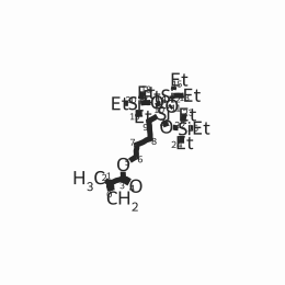 C=C(C)C(=O)OCCCC[Si](O[Si](CC)(CC)CC)(O[Si](CC)(CC)CC)O[Si](CC)(CC)CC